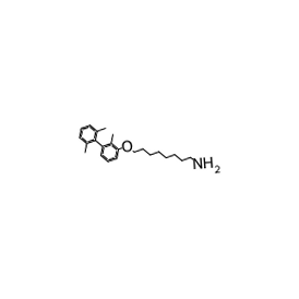 Cc1cccc(C)c1-c1cccc(OCCCCCCCCN)c1C